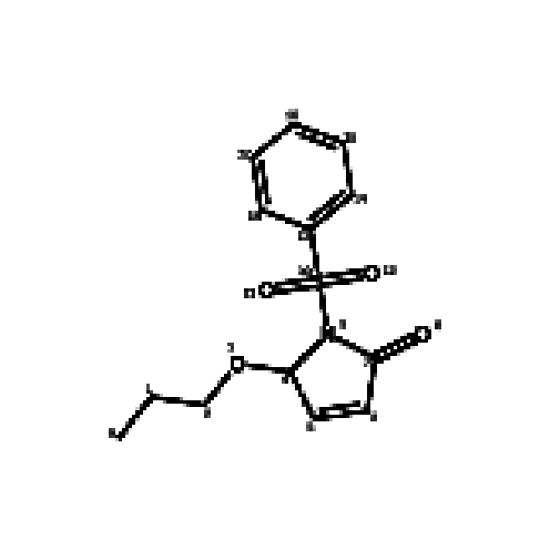 CCCOC1C=CC(=O)N1S(=O)(=O)c1ccccc1